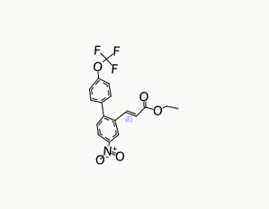 CCOC(=O)/C=C/c1cc([N+](=O)[O-])ccc1-c1ccc(OC(F)(F)F)cc1